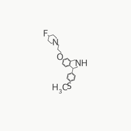 CSc1ccc(C2CNCc3cc(OCCCN4CCC(F)CC4)ccc32)cc1